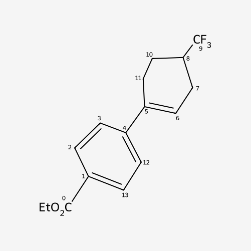 CCOC(=O)c1ccc(C2=CCC(C(F)(F)F)CC2)cc1